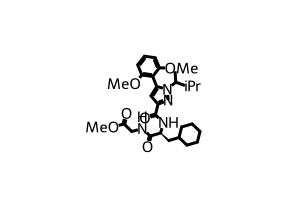 COC(=O)CNC(=O)[C@H](CC1CCCCC1)NC(=O)c1cc(-c2c(OC)cccc2OC)n(C(C)C(C)C)n1